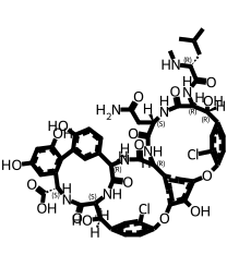 CN[C@H](CC(C)C)C(=O)N[C@H]1C(=O)N[C@@H](CC(N)=O)C(=O)N[C@H]2C(=O)N[C@H]3C(=O)N[C@H](C(=O)N[C@H](C(=O)O)c4cc(O)cc(O)c4-c4cc3ccc4O)[C@H](O)c3ccc(c(Cl)c3)Oc3cc2cc(c3O)Oc2ccc(cc2Cl)[C@H]1O